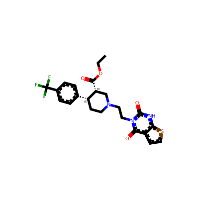 CCOC(=O)[C@@H]1CN(CCn2c(=O)[nH]c3sccc3c2=O)CC[C@@H]1c1ccc(C(F)(F)F)cc1